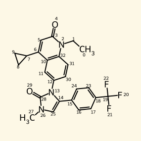 CCn1c(=O)cc(C2CC2)c2cc(-n3c(-c4ccc(C(F)(F)F)cc4)cn(C)c3=O)ccc21